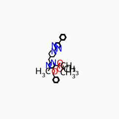 Cc1nc(CC2CCN(c3ncc(-c4ccccc4)cn3)CC2)nc(C(=O)OC(C)(C)C)c1OCc1ccccc1